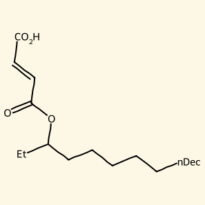 CCCCCCCCCCCCCCCC(CC)OC(=O)C=CC(=O)O